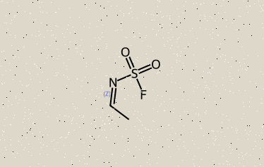 C/C=N\S(=O)(=O)F